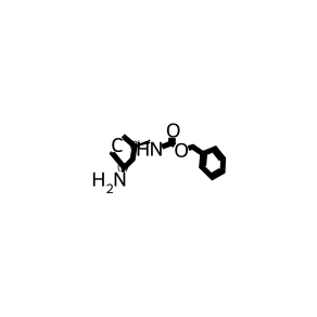 N[C@H]1CCC[C@@H](CNC(=O)OCc2ccccc2)C1